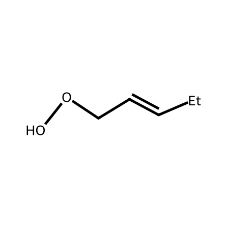 CCC=CCOO